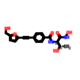 C[C@H](O)[C@@H](NC(=O)c1ccc(C#Cc2ccc(CO)o2)cc1)C(=O)NO